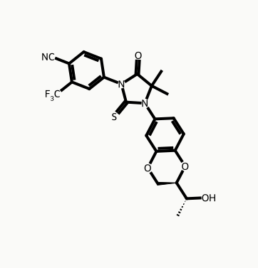 C[C@@H](O)[C@H]1COc2cc(N3C(=S)N(c4ccc(C#N)c(C(F)(F)F)c4)C(=O)C3(C)C)ccc2O1